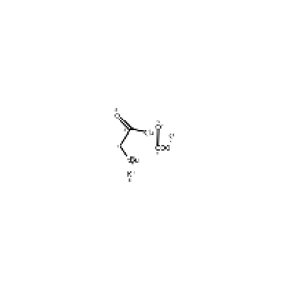 CC(C)(C)CC(=O)Cl.O=C([O-])[O-].[K+].[K+]